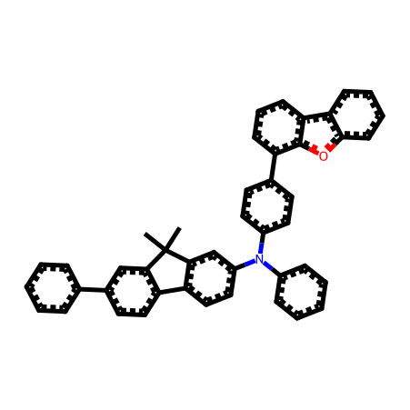 CC1(C)c2cc(-c3ccccc3)ccc2-c2ccc(N(c3ccccc3)c3ccc(-c4cccc5c4oc4ccccc45)cc3)cc21